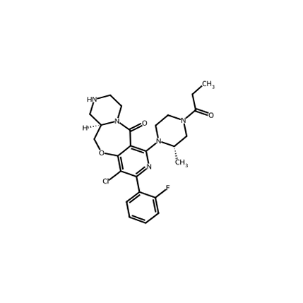 CCC(=O)N1CCN(c2nc(-c3ccccc3F)c(Cl)c3c2C(=O)N2CCNC[C@@H]2CO3)[C@@H](C)C1